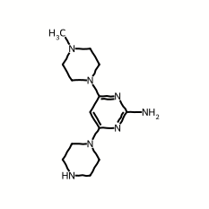 CN1CCN(c2cc(N3CCNCC3)nc(N)n2)CC1